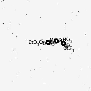 CCOC(=O)COc1ccc(S(=O)(=O)c2ccc(Oc3ccc(S(=O)(=O)C(F)(F)F)cc3[N+](=O)[O-])cc2)cc1